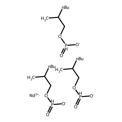 CCCCC(C)CO[PH](=O)[O-].CCCCC(C)CO[PH](=O)[O-].CCCCC(C)CO[PH](=O)[O-].[Nd+3]